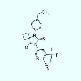 CCc1ccc(N2C(=S)N(c3cnc(C#N)c(C(F)(F)F)c3)C(=O)C23CCC3)cc1